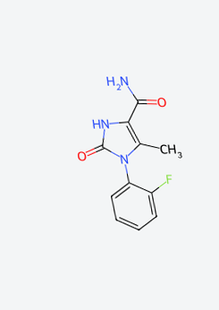 Cc1c(C(N)=O)[nH]c(=O)n1-c1ccccc1F